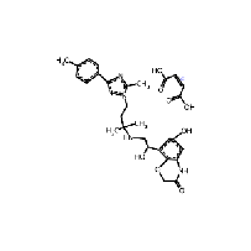 Cc1ccc(-c2nc(C)n(CCC(C)(C)NCC(O)c3cc(O)cc4c3OCC(=O)N4)n2)cc1.O=C(O)/C=C\C(=O)O